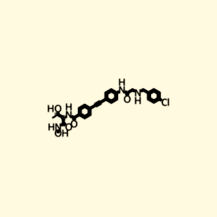 C[C@@H](O)[C@H](NC(=O)c1ccc(C#Cc2ccc(NC(=O)CNCc3ccc(Cl)cc3)cc2)cc1)C(=O)NO